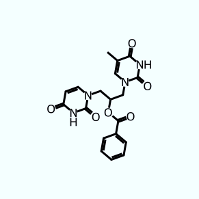 Cc1cn(CC(Cn2ccc(=O)[nH]c2=O)OC(=O)c2ccccc2)c(=O)[nH]c1=O